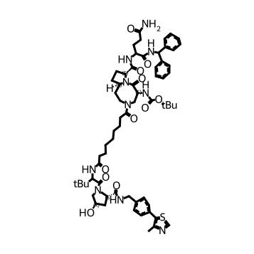 Cc1ncsc1-c1ccc(CNC(=O)[C@@H]2C[C@@H](O)CN2C(=O)C(NC(=O)CCCCCCCC(=O)N2CC[C@H]3CC[C@@H](C(=O)NC(CCC(N)=O)C(=O)NC(c4ccccc4)c4ccccc4)N3C(=O)[C@@H](NC(=O)OC(C)(C)C)C2)C(C)(C)C)cc1